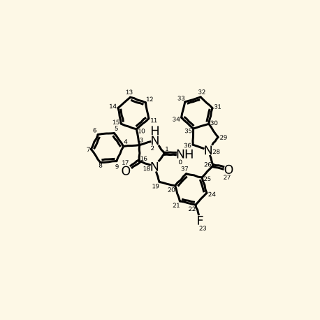 N=C1NC(c2ccccc2)(c2ccccc2)C(=O)N1Cc1cc(F)cc(C(=O)N2Cc3ccccc3C2)c1